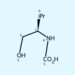 CC(C)[C@H](CO)NC(=O)O